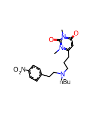 CCCCN(CCCc1cc(=O)n(C)c(=O)n1C)CCc1ccc([N+](=O)[O-])cc1